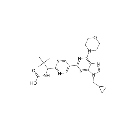 CC(C)(C)C(NC(=O)O)c1ncc(-c2nc(N3CCOCC3)c3ncn(CC4CC4)c3n2)cn1